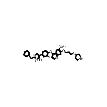 COc1cc2c(Oc3ccc(-c4cnc(Cc5ccccc5)n(C)c4=O)cc3F)ccnc2cc1OCCCOC1CCNCC1